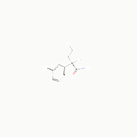 NC(=O)C(O)(CCBr)c1cccc(C(F)(F)F)c1